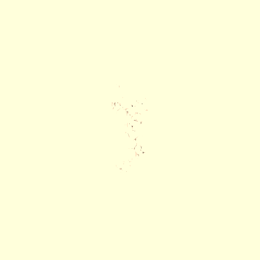 CSCCCn1nccc1C(=O)N[C@H](C(=O)Nc1ccc(-c2c(C)nn(COCC[Si](C)(C)C)c2C)cc1)C1CCC(C)CC1